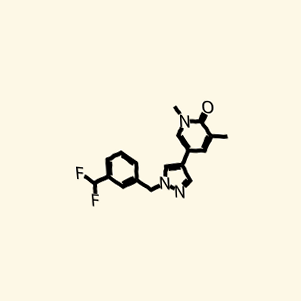 Cc1cc(-c2cnn(Cc3cccc(C(F)F)c3)c2)cn(C)c1=O